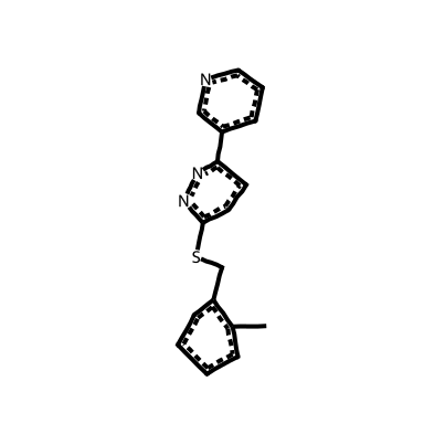 Cc1ccccc1CSc1ccc(-c2cccnc2)nn1